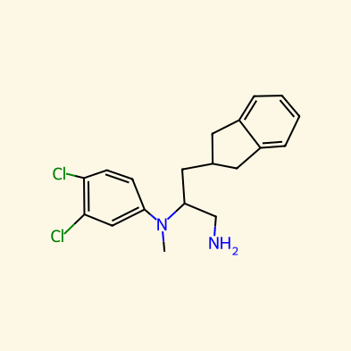 CN(c1ccc(Cl)c(Cl)c1)C(CN)CC1Cc2ccccc2C1